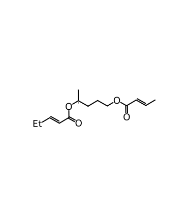 CC=CC(=O)OCCC[C](C)OC(=O)C=CCC